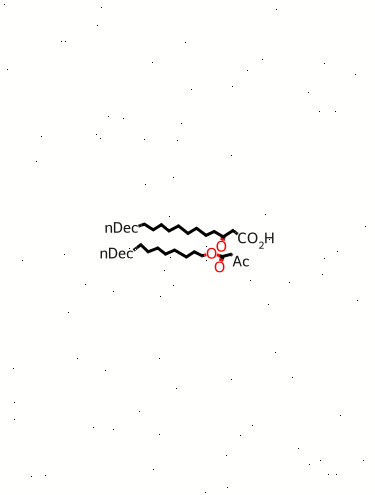 CCCCCCCCCCCCCCCCCCCC(=O)CC(=O)O.CCCCCCCCCCCCCCCCCCOC(=O)CC(C)=O